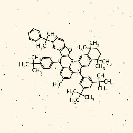 Cc1cc2c3c(c1)N(c1ccc(C(C)(C)C)cc1)c1c(oc4ccc(C(C)(C)c5ccccc5)cc14)B3c1cc3c(cc1N2c1cc(C(C)(C)C)cc(C(C)(C)C)c1)C(C)(C)CCC3(C)C